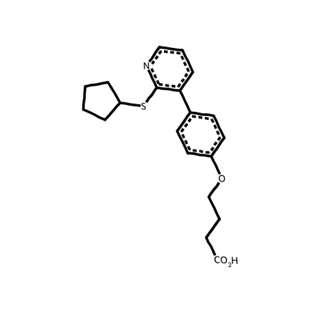 O=C(O)CCCOc1ccc(-c2cccnc2SC2CCCC2)cc1